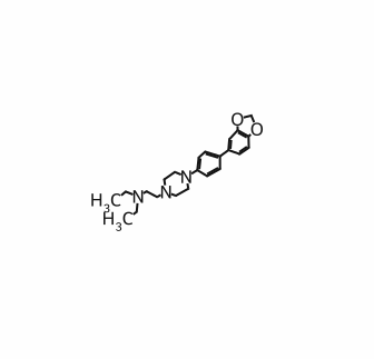 CCN(CC)CCN1CCN(c2ccc(-c3ccc4c(c3)OCO4)cc2)CC1